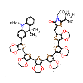 [C-]#[N+]/C(C(=O)O)=c1\s/c(=C\c2sc(-c3sc(-c4sc(-c5sc(-c6sc(-c7sc(-c8ccc9c(c8)C(C)(C)c8ccccc8N9CCCCCC)c8c7OCCO8)c7c6OCCO7)c6c5OCCO6)c5c4OCCO5)c4c3OCCO4)c3c2OCCO3)c(=O)n1CC(=O)O